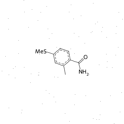 CSc1ccc(C(N)=O)c(C)c1